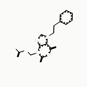 CC(C)(C)C(=O)OCn1c(=O)[nH]c(=O)c2c1ncn2CCc1ccccc1